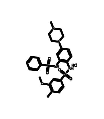 COc1cc(S(=O)(=O)Nc2ccc(N3CCN(C)CC3)cc2NS(=O)(=O)c2ccccc2)ccc1C.Cl